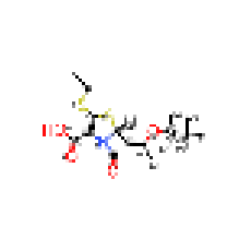 CCSC1=C(C(=O)O)N2C(=O)[C@@H]([C@H](C)O[Si](C)(C)C(C)(C)C)[C@H]2S1